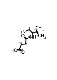 C=C(C)C(CN)NC(=O)CCC(=O)O